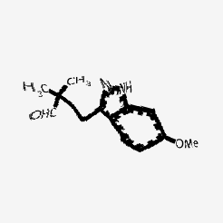 COc1ccc2c(CC(C)(C)C=O)n[nH]c2c1